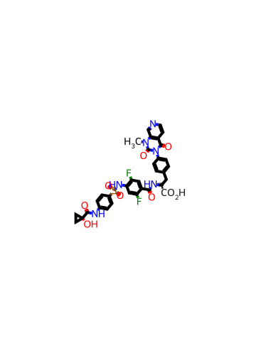 Cn1c(=O)n(-c2ccc(C[C@H](NC(=O)c3cc(F)c(NS(=O)(=O)c4ccc(NC(=O)C5(O)CC5)cc4)cc3F)C(=O)O)cc2)c(=O)c2ccncc21